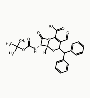 CC(C)(C)OC(=O)N[C@@H]1C(=O)N2C(C(=O)O)=C(C=O)C(C(c3ccccc3)c3ccccc3)S[C@H]12